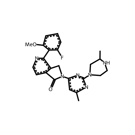 COc1cccc(F)c1-c1nccc2c1CN(c1cc(C)nc(N3CCNC(C)C3)n1)C2=O